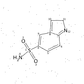 NS(=O)(=O)c1ccc2c(c1)=CCN=2